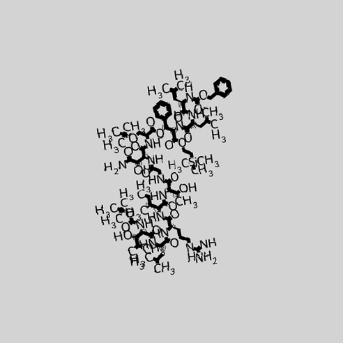 CC[C@H](C)[C@H](NC(=O)[C@@H](CCCNC(=N)N)NC(=O)[C@H](CC(C)C)NC(=O)[C@@H](NC(=O)OC(C)(C)C)[C@H](O)C(C)C)C(=O)N[C@H](C(=O)NCC(=O)N[C@H](C(=O)NC(COC(C)(C)C)C(=O)O[C@H](c1ccccc1)[C@H](NC(=O)[C@H](CC(C)C)NC(=O)[C@@H](CC(C)C)NC(=O)OCc1ccccc1)C(=O)OCC[Si](C)(C)C)[C@H](O)C(N)=O)[C@H](C)O